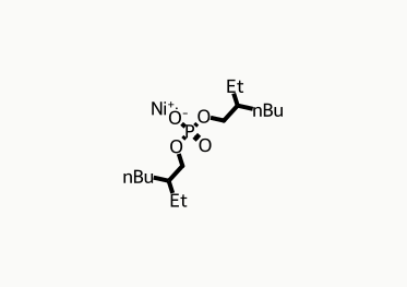 CCCCC(CC)COP(=O)([O-])OCC(CC)CCCC.[Ni+]